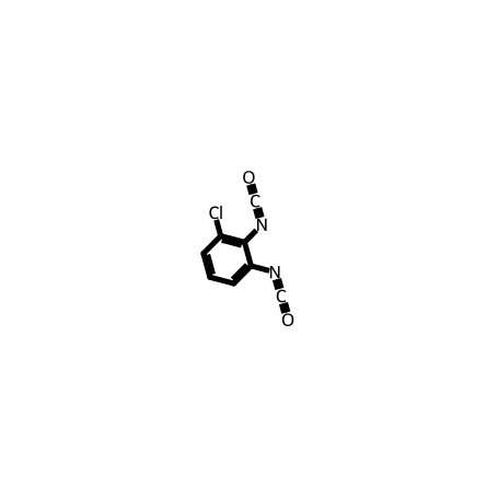 O=C=Nc1cccc(Cl)c1N=C=O